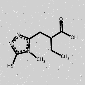 CCC(Cc1nnc(S)n1C)C(=O)O